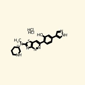 CN(c1nc2nnc(-c3ccc(-c4cn[nH]c4)cc3O)cc2s1)[C@H]1CCCNC1.Cl.Cl